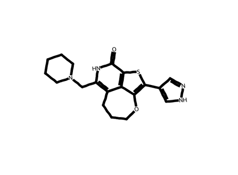 O=c1[nH]c(CN2CCCCC2)c2c3c(c(-c4cn[nH]c4)sc13)OCCC2